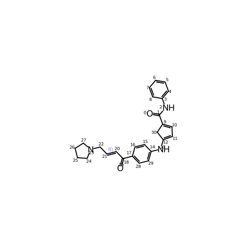 O=C(Nc1ccccc1)C1=CC=C(Nc2ccc(C(=O)/C=C/CN3CCCC3)cc2)C1